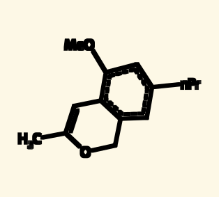 CCCc1cc2c(c(OC)c1)C=C(C)OC2